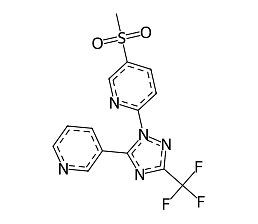 CS(=O)(=O)c1ccc(-n2nc(C(F)(F)F)nc2-c2cccnc2)nc1